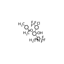 Cc1ccc([C@@H](C)Oc2ccc(-c3cc(C(F)(F)F)nn3C)c(O)c2-c2ccc(Cl)c(C(F)(F)F)c2)cc1